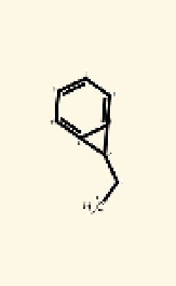 CCC1c2ccccc21